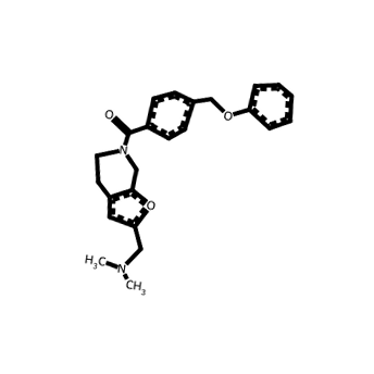 CN(C)Cc1cc2c(o1)CN(C(=O)c1ccc(COc3ccccc3)cc1)CC2